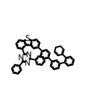 C1=CC(c2ccccc2-c2cccc(-c3ccc(-c4ccc5sc6cccc(-c7nc(-c8ccccc8)nc(-c8ccccc8)n7)c6c5c4)cc3)c2)=CCC1